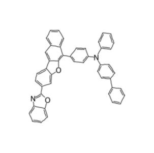 c1ccc(-c2ccc(N(c3ccccc3)c3ccc(-c4c5ccccc5cc5c4oc4cc(-c6nc7ccccc7o6)ccc45)cc3)cc2)cc1